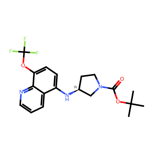 CC(C)(C)OC(=O)N1CC[C@H](Nc2ccc(OC(F)(F)F)c3ncccc23)C1